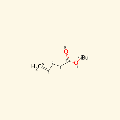 C=CCCC(=O)OC(C)CC